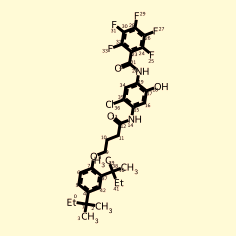 CCC(C)(C)c1ccc(OCCCC(=O)Nc2cc(O)c(NC(=O)c3c(F)c(F)c(F)c(F)c3F)cc2Cl)c(C(C)(C)CC)c1